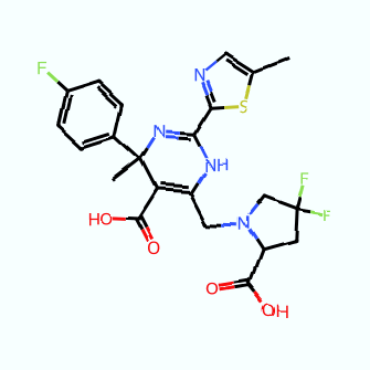 Cc1cnc(C2=NC(C)(c3ccc(F)cc3)C(C(=O)O)=C(CN3CC(F)(F)CC3C(=O)O)N2)s1